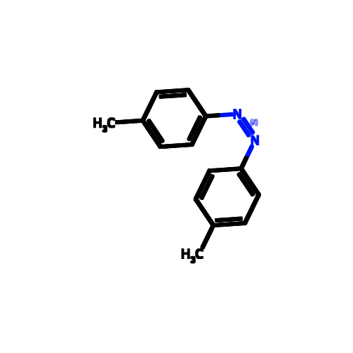 Cc1ccc(/N=N\c2ccc(C)cc2)cc1